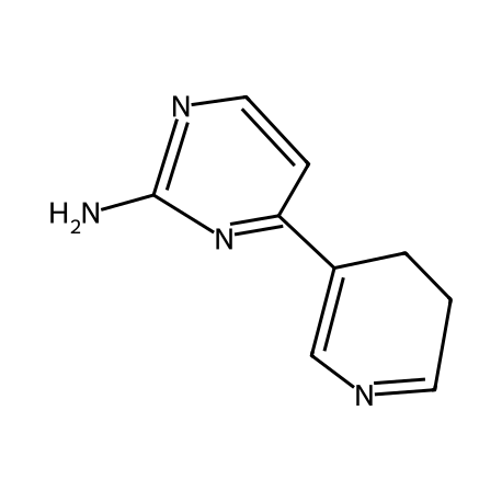 Nc1nccc(C2=CN=CCC2)n1